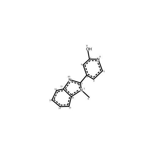 Cn1c(-c2ccnc(O)c2)nc2ccccc21